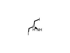 N=[PH](CI)CI